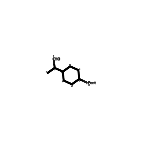 CCCCCC1CCC(C(C)C=O)CC1